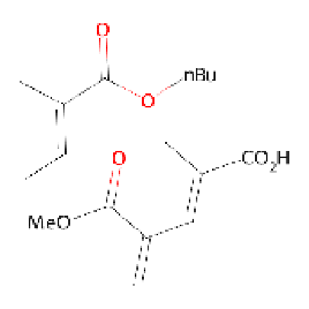 C=C(C=C(C)C(=O)O)C(=O)OC.CC=C(C)C(=O)OCCCC